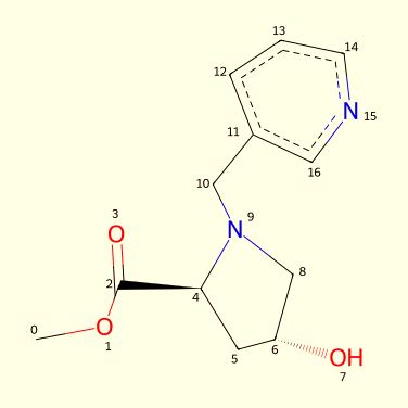 COC(=O)[C@@H]1C[C@@H](O)CN1Cc1cccnc1